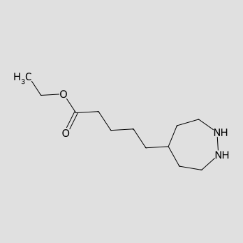 CCOC(=O)CCCCC1CCNNCC1